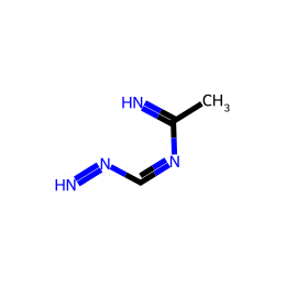 CC(=N)/N=C\N=N